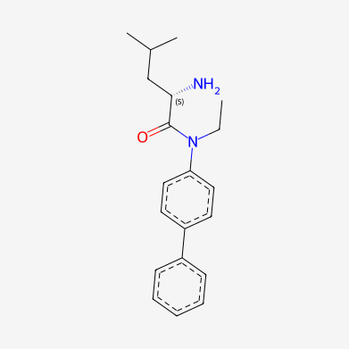 CCN(C(=O)[C@@H](N)CC(C)C)c1ccc(-c2ccccc2)cc1